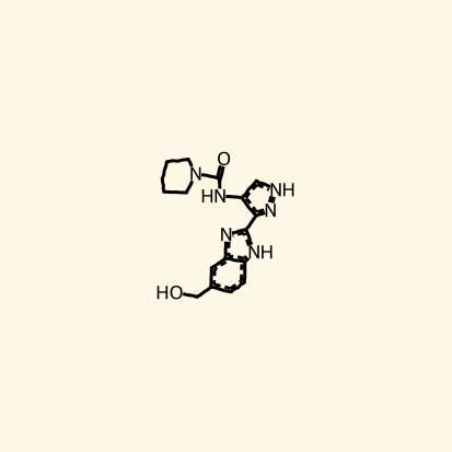 O=C(Nc1c[nH]nc1-c1nc2cc(CO)ccc2[nH]1)N1CCCCC1